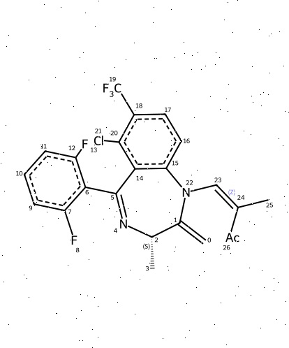 C=C1[C@H](C)N=C(c2c(F)cccc2F)c2c(ccc(C(F)(F)F)c2Cl)N1/C=C(/C)C(C)=O